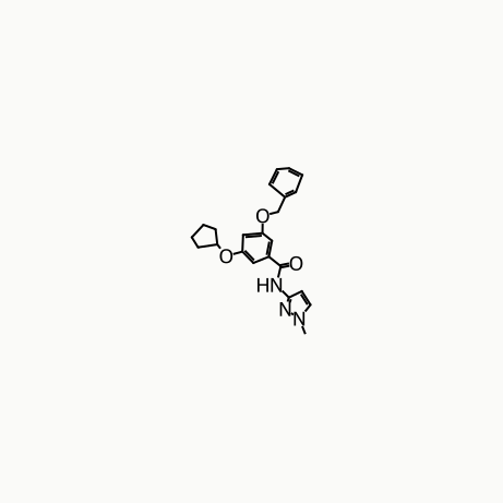 Cn1ccc(NC(=O)c2cc(OCc3ccccc3)cc(OC3CCCC3)c2)n1